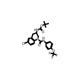 CC(C)(C)OC(=O)NC1Cc2cc(Cl)ccc2N(C(=O)Nc2ccc(OC(F)(F)F)cc2)C1